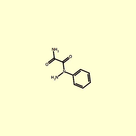 NC(=O)C(=O)N(N)c1ccccc1